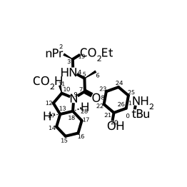 CC(C)(C)N.CCC[C@H](N[C@@H](C)C(=O)N1[C@H](C(=O)O)C[C@@H]2CCCC[C@@H]21)C(=O)OCC.OC1CCCCC1